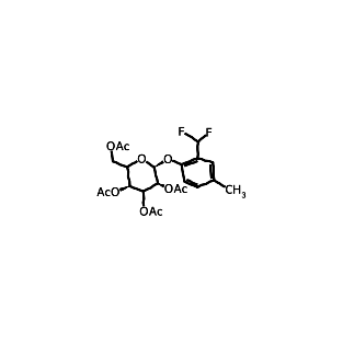 CC(=O)OCC1O[C@@H](Oc2ccc(C)cc2C(F)F)[C@@H](OC(C)=O)C(OC(C)=O)[C@H]1OC(C)=O